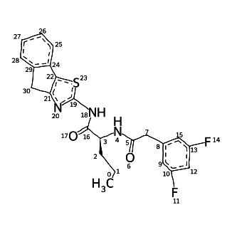 CCC[C@H](NC(=O)Cc1cc(F)cc(F)c1)C(=O)Nc1nc2c(s1)-c1ccccc1C2